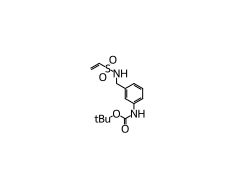 C=CS(=O)(=O)NCc1cccc(NC(=O)OC(C)(C)C)c1